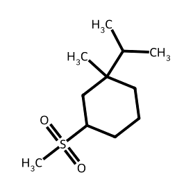 CC(C)C1(C)CCCC(S(C)(=O)=O)C1